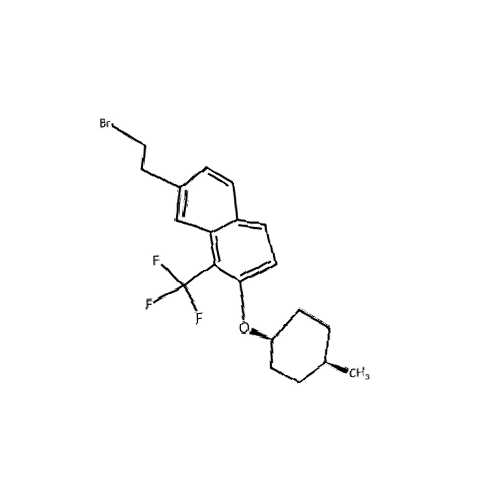 C[C@H]1CC[C@@H](Oc2ccc3ccc(CCBr)cc3c2C(F)(F)F)CC1